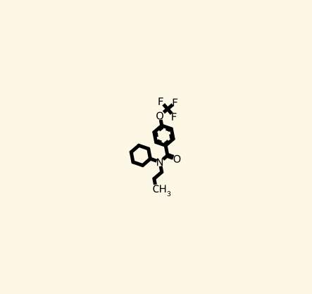 CCCN(C(=O)c1ccc(OC(F)(F)F)cc1)C1CCCCC1